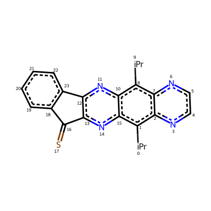 CC(C)c1c2nccnc2c(C(C)C)c2nc3c(nc12)C(=S)c1ccccc1-3